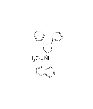 CC(NC1C[C@H](c2ccccc2)[C@@H](c2ccccc2)C1)c1cccc2ccccc12